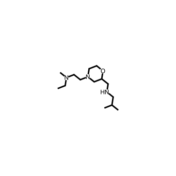 CCN(C)CCN1CCOC(CNCC(C)C)C1